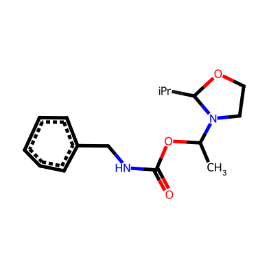 CC(C)C1OCCN1C(C)OC(=O)NCc1ccccc1